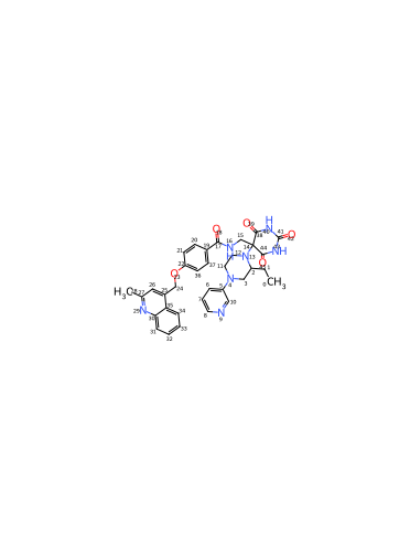 CCC1CN(c2cccnc2)CCN1C1(CNC(=O)c2ccc(OCc3cc(C)nc4ccccc34)cc2)C(=O)NC(=O)NC1=O